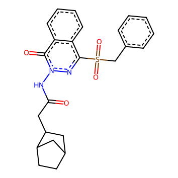 O=C(CC1CC2CCC1C2)Nn1nc(S(=O)(=O)Cc2ccccc2)c2ccccc2c1=O